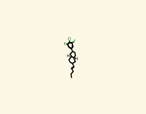 CCCC=CC1CC[C@H]2CC(c3cc(F)c(Cl)c(F)c3)CC[C@@H]2C1